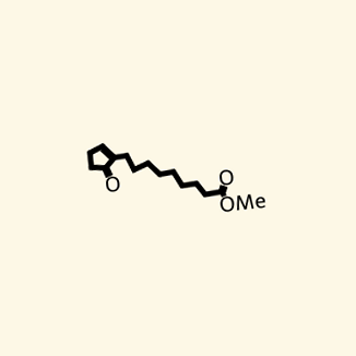 COC(=O)CCCCCCCCC1=CCCC1=O